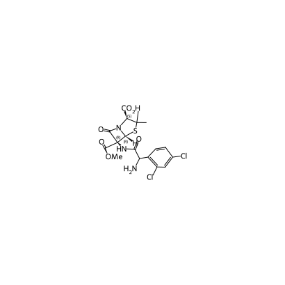 COC(=O)[C@]1(NC(=O)C(N)c2ccc(Cl)cc2Cl)C(=O)N2[C@@H](C(=O)O)C(C)(C)S[C@@H]21